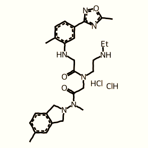 CCNCCN(CC(=O)N(C)N1Cc2ccc(C)cc2C1)C(=O)CNc1cc(-c2noc(C)n2)ccc1C.Cl.Cl